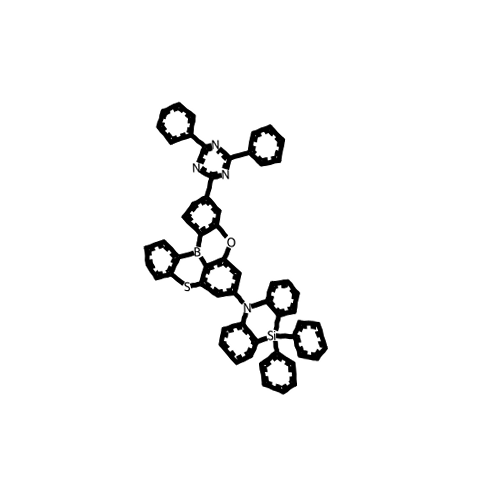 c1ccc(-c2nc(-c3ccccc3)nc(-c3ccc4c(c3)Oc3cc(N5c6ccccc6[Si](c6ccccc6)(c6ccccc6)c6ccccc65)cc5c3B4c3ccccc3S5)n2)cc1